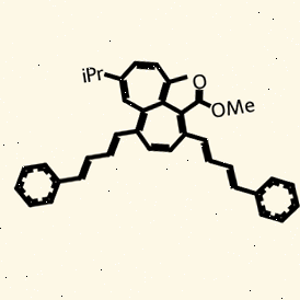 COC(=O)C1=C(C=C/C=C/c2ccccc2)C=CC(C=C/C=C/c2ccccc2)=C2C=C(C(C)C)C=CC(C)=C21